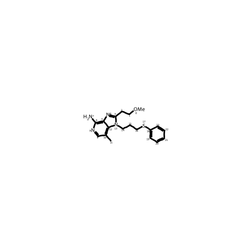 COCCc1nc2c(N)ncc(C)c2n1CCCSc1ccccc1